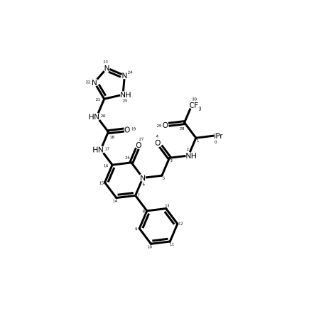 CC(C)C(NC(=O)Cn1c(-c2ccccc2)ccc(NC(=O)Nc2nnn[nH]2)c1=O)C(=O)C(F)(F)F